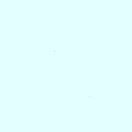 COc1ccc2c(c1)CCC(CN1CCCCC1)C2=O.Cl